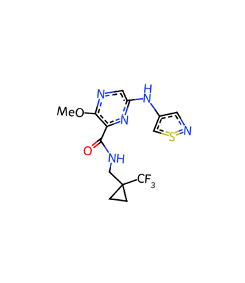 COc1ncc(Nc2cnsc2)nc1C(=O)NCC1(C(F)(F)F)CC1